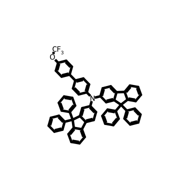 FC(F)(F)Oc1ccc(-c2ccc(N(c3ccc4c(c3)C(c3ccccc3)(c3ccccc3)c3ccccc3-4)c3ccc4c(c3)C(c3ccccc3)(c3ccccc3)c3ccccc3-4)cc2)cc1